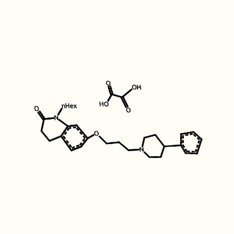 CCCCCCN1C(=O)CCc2ccc(OCCCN3CCC(c4ccccc4)CC3)cc21.O=C(O)C(=O)O